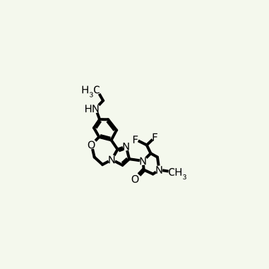 CCNc1ccc2c(c1)OCCn1cc(N3C(=O)CN(C)CC3C(F)F)nc1-2